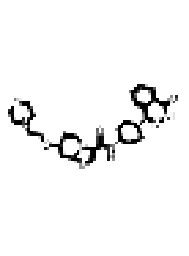 O=C(N[C@H]1CC[C@H](c2n[nH]c(=O)c3ccccc32)CC1)c1cnc2cc(OCCN3CCOCC3)ccn12